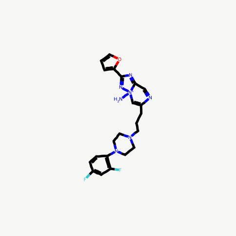 N[N+]12C=C(CCCN3CCN(c4ccc(F)cc4F)CC3)N=CC1=NC(c1ccco1)=N2